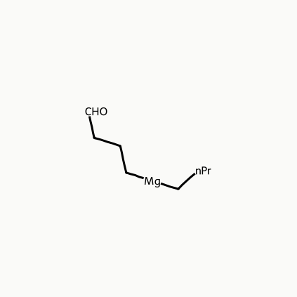 CCC[CH2][Mg][CH2]CCC=O